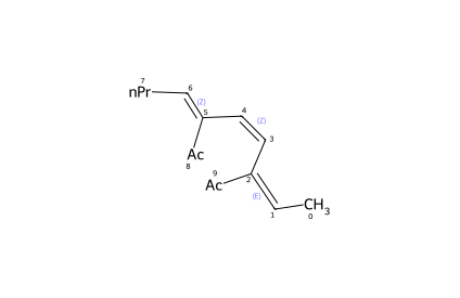 C\C=C(/C=C\C(=C\CCC)C(C)=O)C(C)=O